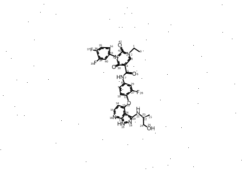 CCn1cc(C(=O)Nc2ccc(Oc3ccnc4[nH]nc(N[C@@H](C)CO)c34)c(F)c2)c(=O)n(-c2ccc(F)c(F)c2)c1=O